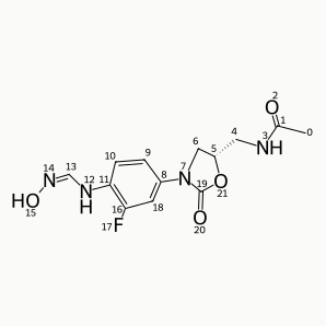 CC(=O)NC[C@H]1CN(c2ccc(N/C=N\O)c(F)c2)C(=O)O1